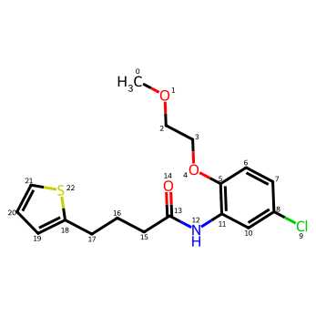 COCCOc1ccc(Cl)cc1NC(=O)CCCc1cccs1